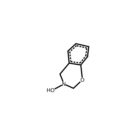 ON1COc2ccccc2C1